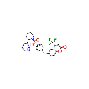 O=c1cc(C(F)(F)F)c2cc(Cc3ccc(S(=O)(=O)N4CCCCC4c4cccnc4)cc3)ccc2o1